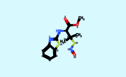 COC(=O)[C@H](Nc1nc2ccccc2s1)C(C)(C)SN=O